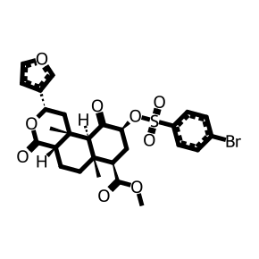 COC(=O)[C@@H]1C[C@H](OS(=O)(=O)c2ccc(Br)cc2)C(=O)[C@@H]2[C@@]3(C)C[C@@H](c4ccoc4)OC(=O)[C@H]3CC[C@]21C